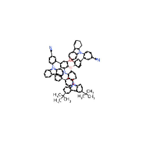 CC(C)(C)c1ccc2c(c1)c1cc(C(C)(C)C)ccc1n2-c1ccc2c(c1)N(c1ccccc1-c1ccccc1)c1cc(-c3cc(C#N)ccc3-n3c4ccccc4c4ccccc43)cc3c1B2c1c#cc(-c2cc(C#N)ccc2-n2c4c(c5ccccc52)C=CCC4)cc1O3